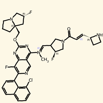 C/[N+](=C\C1CN(C(=O)/C=C/[C@H]2CCN2)C[C@H]1F)c1nc(OC[C@@]23CCCN2C[C@H](F)C3)nc2c(F)c(-c3cccc4cccc(Cl)c34)ncc12